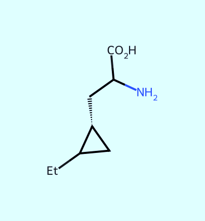 CCC1C[C@H]1CC(N)C(=O)O